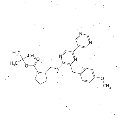 COc1ccc(Cc2nc(-c3cncnc3)cnc2NCC2CCCN2C(=O)OC(C)(C)C)cc1